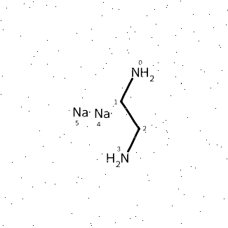 NCCN.[Na].[Na]